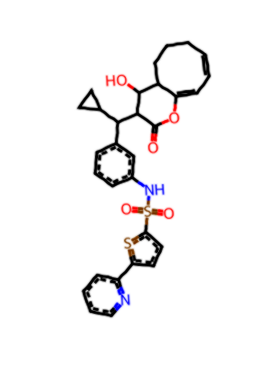 O=C1OC2=CC=CCCCC2C(O)C1C(c1cccc(NS(=O)(=O)c2ccc(-c3ccccn3)s2)c1)C1CC1